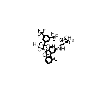 CN(C(=O)C(C)(C)c1cc(C(F)(F)F)cc(C(F)(F)F)c1)c1cnc(NCCS(C)(=O)=O)cc1-c1ccccc1Cl